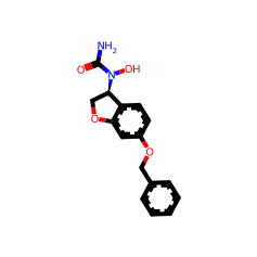 NC(=O)N(O)[C@@H]1COc2cc(OCc3ccccc3)ccc21